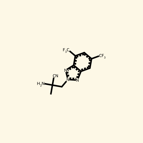 CC(N)(C#N)Cn1nc2cc(C(F)(F)F)cc(C(F)(F)F)c2n1